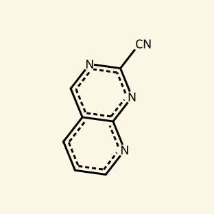 N#Cc1ncc2cccnc2n1